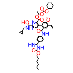 C=Cc1cc(C(=O)Nc2ccc(C(=N)NC(=O)OCCCCCC)cc2)c(-c2ccc(C(O)NCC3CC3)nc2C(=O)OC(C)OC(=O)OC2CCCCC2)cc1OC